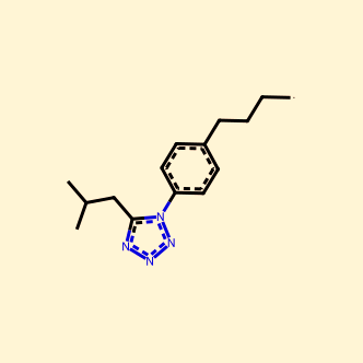 [CH2]CCCc1ccc(-n2nnnc2CC(C)C)cc1